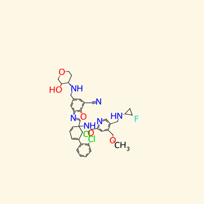 COCc1cc(C(=O)NC2(c3nc4cc(CN[C@@H]5CCOC[C@@H]5O)cc(C#N)c4o3)C=CC=C(c3ccccc3Cl)C2Cl)ncc1CN[C@@H]1C[C@@H]1F